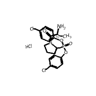 C[C@H](N)C(=O)N1CCCC1P(=O)(Oc1ccc(Cl)cc1)Oc1ccc(Cl)cc1.Cl